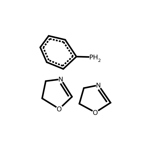 C1=NCCO1.C1=NCCO1.Pc1ccccc1